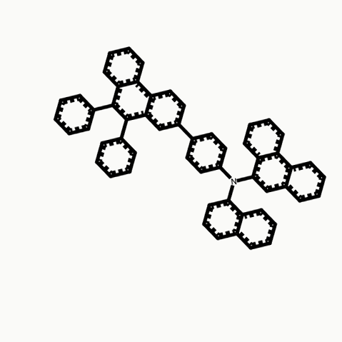 c1ccc(-c2c(-c3ccccc3)c3cc(-c4ccc(N(c5cccc6ccccc56)c5cc6ccccc6c6ccccc56)cc4)ccc3c3ccccc23)cc1